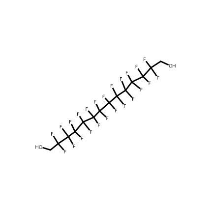 OCC(F)(F)C(F)(F)C(F)(F)C(F)(F)C(F)(F)C(F)(F)C(F)(F)C(F)(F)C(F)(F)C(F)(F)C(F)(F)C(F)(F)CO